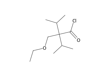 CCOCC(C(=O)Cl)(C(C)C)C(C)C